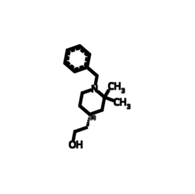 CC1(C)C[C@H](CCO)CCN1Cc1ccccc1